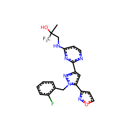 CC(O)(CNc1ccnc(-c2cc(-c3ccon3)n(Cc3ccccc3F)n2)n1)C(F)(F)F